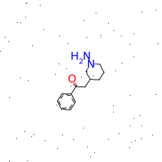 NN1CCCC(CC(=O)c2ccccc2)C1